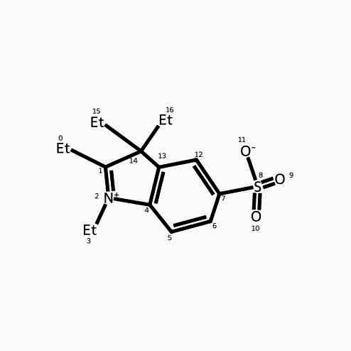 CCC1=[N+](CC)c2ccc(S(=O)(=O)[O-])cc2C1(CC)CC